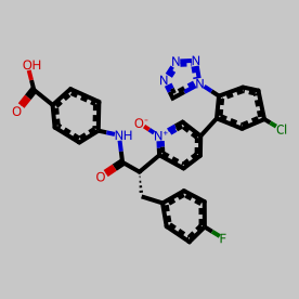 O=C(O)c1ccc(NC(=O)[C@@H](Cc2ccc(F)cc2)c2ccc(-c3cc(Cl)ccc3-n3cnnn3)c[n+]2[O-])cc1